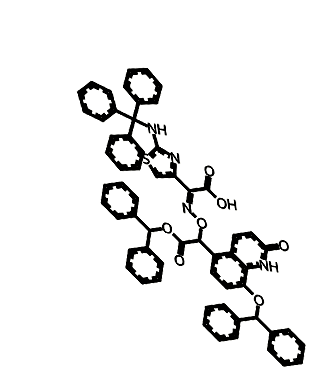 O=C(O)C(=NOC(C(=O)OC(c1ccccc1)c1ccccc1)c1ccc(OC(c2ccccc2)c2ccccc2)c2[nH]c(=O)ccc12)c1csc(NC(c2ccccc2)(c2ccccc2)c2ccccc2)n1